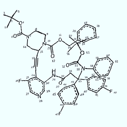 CC(C)(C)OC(=O)N1CCN(C(=O)OCc2ccccc2)C(C#Cc2c(F)cncc2NC(=O)CC(c2ccc(F)cc2)(c2ccc(F)cc2)N(C(=O)OC(C)(C)C)c2ccccc2)C1